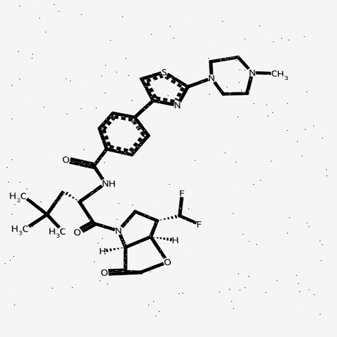 CN1CCN(c2nc(-c3ccc(C(=O)N[C@@H](CC(C)(C)C)C(=O)N4C[C@H](C(F)F)[C@H]5OCC(=O)[C@H]54)cc3)cs2)CC1